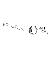 CNC1=CC2CCC(C1)CN(CCCOCCO)C2